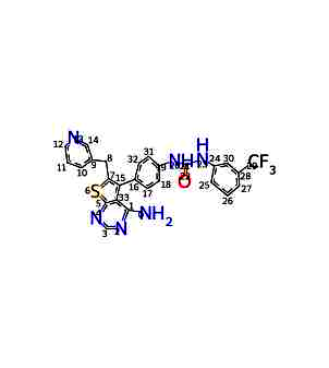 Nc1ncnc2sc(Cc3cccnc3)c(-c3ccc(NC(=O)Nc4cccc(C(F)(F)F)c4)cc3)c12